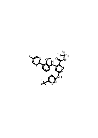 [2H]C([2H])([2H])NC(=O)c1nnc(Nc2ccc(C(F)(F)F)nn2)cc1Nc1cccc(-c2ncc(F)cn2)c1OC